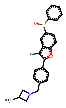 O=C(O)C1CN(Cc2ccc(-c3oc4ccc([S+]([O-])c5ccccc5)cc4c3F)cc2)C1